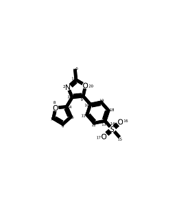 Cc1nc(-c2ccco2)c(-c2ccc(S(C)(=O)=O)cc2)o1